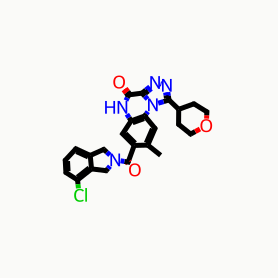 Cc1cc2c(cc1C(=O)N1Cc3cccc(Cl)c3C1)[nH]c(=O)c1nnc(C3CCOCC3)n12